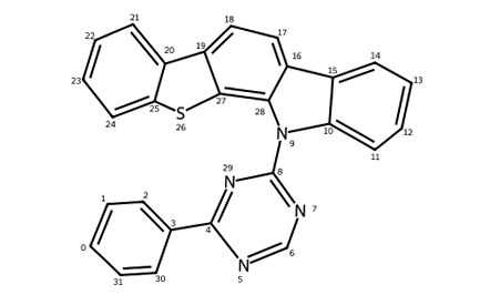 c1ccc(-c2ncnc(-n3c4ccccc4c4ccc5c6ccccc6sc5c43)n2)cc1